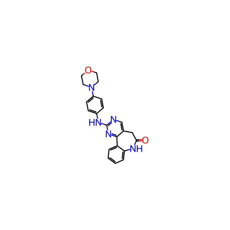 O=C1Cc2cnc(Nc3ccc(N4CCOCC4)cc3)nc2-c2ccccc2N1